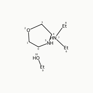 C1COCCN1.CCNCC.CCO